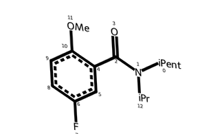 CCCC(C)N(C(=O)c1cc(F)ccc1OC)C(C)C